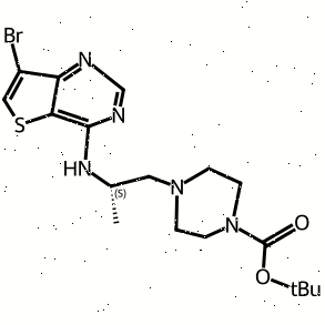 C[C@@H](CN1CCN(C(=O)OC(C)(C)C)CC1)Nc1ncnc2c(Br)csc12